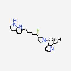 O=C(O)C(c1cccnc1C1CCC1)N1CCC(C(F)CCCCc2ccc3c(n2)NCCC3)C1